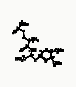 COC(=O)CCC(N)C(=O)NC(Cc1ccc(OC)c(OC)c1)C(=O)O